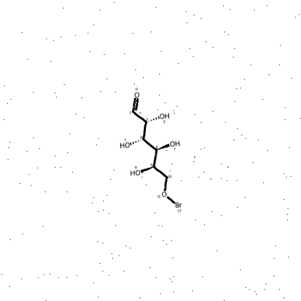 O=C[C@H](O)[C@@H](O)[C@@H](O)[C@H](O)COBr